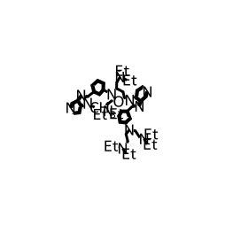 CCN(CC)CCN(CCN(CC)CC)c1cccc(-c2nc3cnccc3n2C(=O)CC(CN(CC)CC)N(CCN(CC)CC)c2cccc(-c3nc4cnccc4n3C)c2)c1